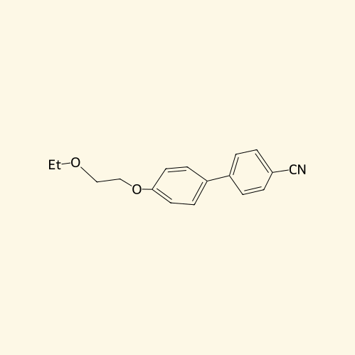 CCOCCOc1ccc(-c2ccc(C#N)cc2)cc1